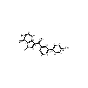 Cn1cc(C(=O)c2cccc(-c3ccc(F)cc3)c2)c2cc[nH]c(=O)c21